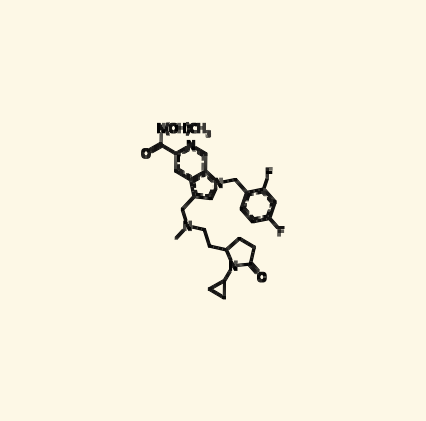 CN(CCC1CCC(=O)N1C1CC1)Cc1cn(Cc2ccc(F)cc2F)c2cnc(C(=O)N(C)O)cc12